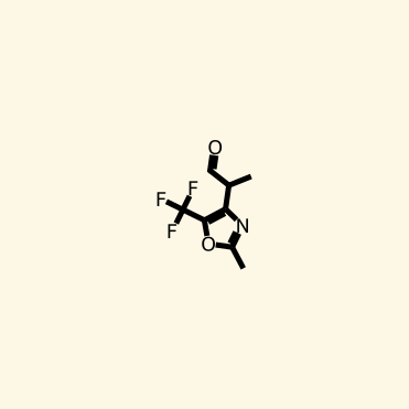 Cc1nc(C(C)C=O)c(C(F)(F)F)o1